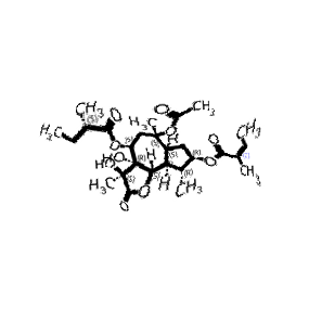 C/C=C(/C)C(=O)O[C@@H]1C[C@H]2[C@@H]([C@H]1C)[C@@H]1OC(=O)[C@@](C)(O)[C@@]1(O)[C@@H](OC(=O)[C@@H](C)CC)C[C@]2(C)OC(C)=O